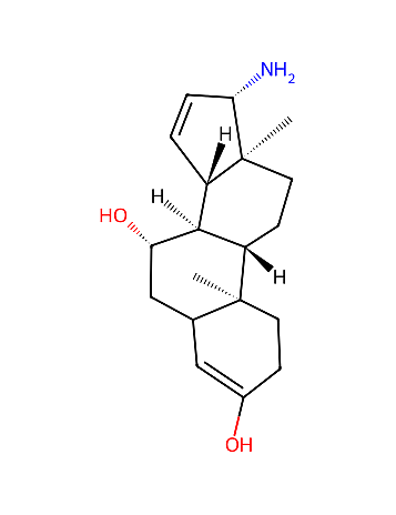 C[C@]12CC[C@H]3[C@@H]([C@@H](O)CC4C=C(O)CC[C@@]43C)[C@@H]1C=C[C@@H]2N